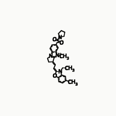 CCN1C(=CC=C2CCn3c2[n+](C)c2cc(S(=O)(=O)N4CCCC4)ccc23)Oc2ccc(C)cc21